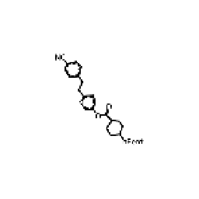 CCCCCC1CCC(C(=O)Oc2ccc(CCc3ccc(C#N)cc3)nc2)CC1